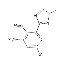 COc1c(-c2ncn(C)n2)cc(Cl)cc1[N+](=O)[O-]